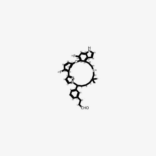 CC1(C)CCCC(c2cccc(CCC=O)c2)n2ccc(n2)-c2cc(ccc2F)Oc2c(F)cc3[nH]ccc3c2CCSC1